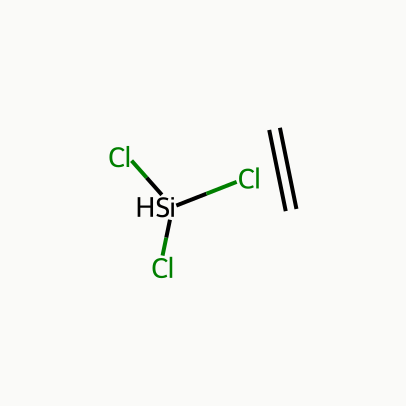 C=C.Cl[SiH](Cl)Cl